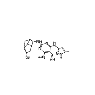 C=Nc1nc(NC2C3CC4CC2CC(O)(C4)C3)nc(Nc2cc(C)[nH]n2)c1C=N